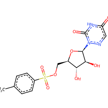 Cc1ccc(S(=O)(=O)OC[C@H]2O[C@@H](n3ncc(=O)[nH]c3=O)[C@@H](O)[C@@H]2O)cc1